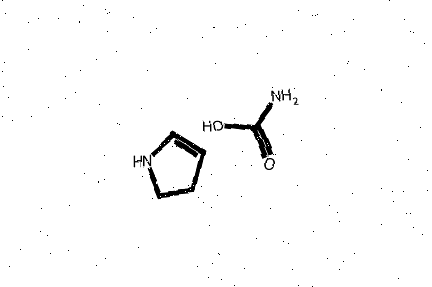 C1=CNCC1.NC(=O)O